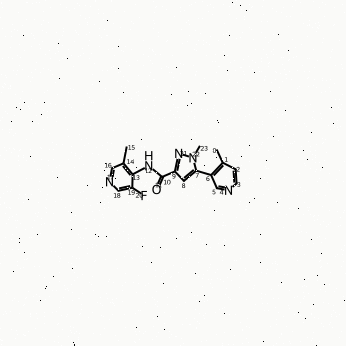 Cc1ccncc1-c1cc(C(=O)Nc2c(C)cncc2F)nn1C